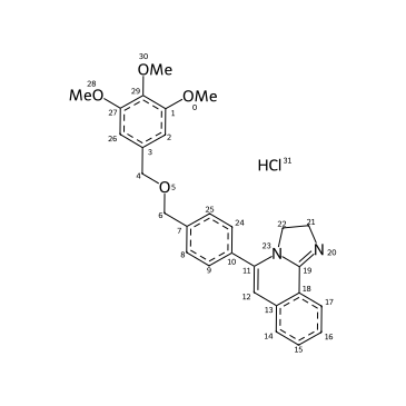 COc1cc(COCc2ccc(C3=Cc4ccccc4C4=NCCN34)cc2)cc(OC)c1OC.Cl